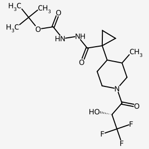 CC1CN(C(=O)[C@@H](O)C(F)(F)F)CCC1C1(C(=O)NNC(=O)OC(C)(C)C)CC1